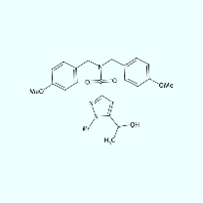 COc1ccc(CN(Cc2ccc(OC)cc2)S(=O)(=O)c2cc(C(C)O)n(C(C)C)n2)cc1